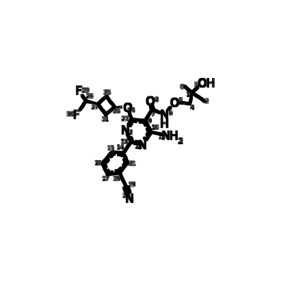 CC(C)(O)CONC(=O)c1c(N)nc(-c2cccc(C#N)c2)nc1O[C@H]1C[C@H](C(F)F)C1